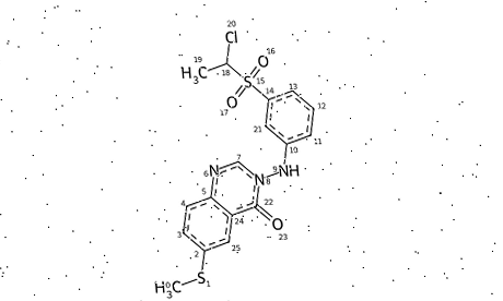 CSc1ccc2ncn(Nc3cccc(S(=O)(=O)C(C)Cl)c3)c(=O)c2c1